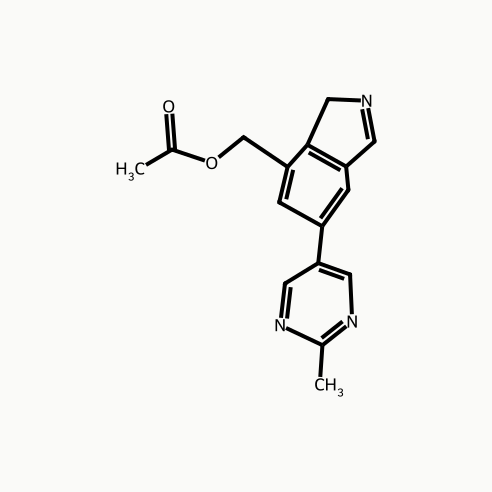 CC(=O)OCc1cc(-c2cnc(C)nc2)cc2c1CN=C2